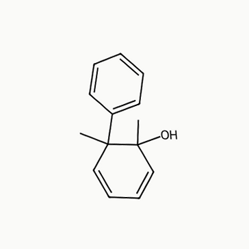 CC1(O)C=CC=CC1(C)c1ccccc1